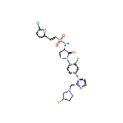 O=C1C(NS(=O)(=O)C=Cc2ccc(Cl)s2)CCN1c1ccc(-n2ccnc2CN2CCC(F)C2)cc1F